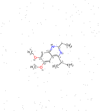 CCc1nc(C(C)C)c2cc(OC)c(OC)cc2n1